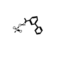 CC(=NOS(C)(=O)=O)c1cccc(-c2ccccc2)c1